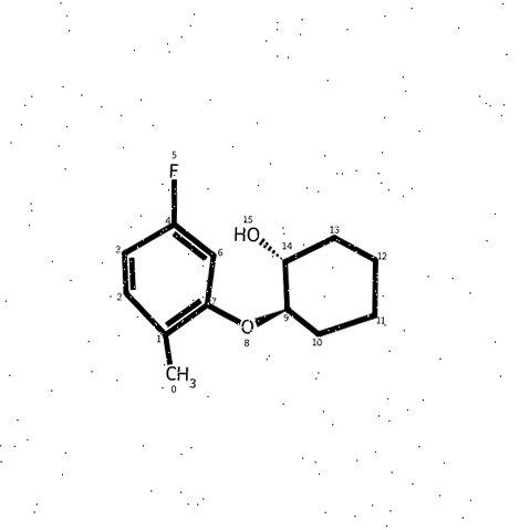 Cc1ccc(F)cc1O[C@@H]1CCCC[C@H]1O